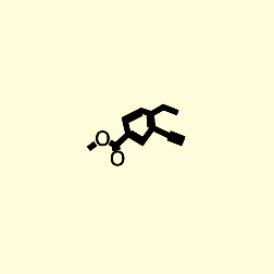 C#Cc1cc(C(=O)OC)ccc1CC